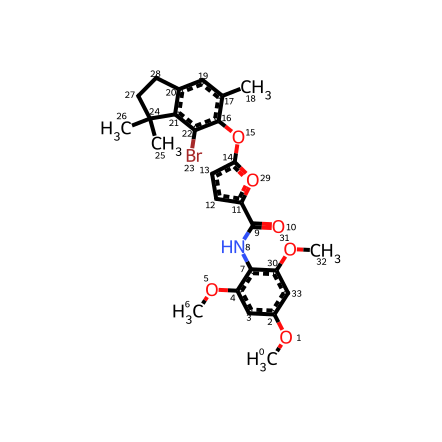 COc1cc(OC)c(NC(=O)c2ccc(Oc3c(C)cc4c(c3Br)C(C)(C)CC4)o2)c(OC)c1